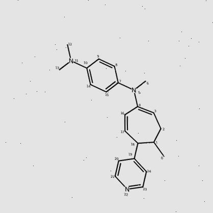 CC1CC=C(N(C)c2ccc(N(C)C)cc2)C=CC1c1ccncc1